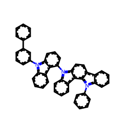 c1ccc(-c2cccc(-n3c4ccccc4c4c(-n5c6ccccc6c6c5ccc5c7ccccc7n(-c7ccccc7)c56)cccc43)c2)cc1